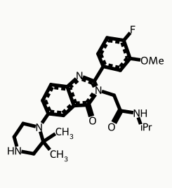 COc1cc(-c2nc3ccc(N4CCNCC4(C)C)cc3c(=O)n2CC(=O)NC(C)C)ccc1F